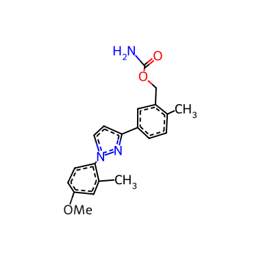 COc1ccc(-n2ccc(-c3ccc(C)c(COC(N)=O)c3)n2)c(C)c1